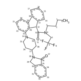 CCCCN(CC(F)(F)F)C(=O)C1c2ccccc2-c2cccc(N3CCC(N4Cc5ccccc5C4=O)CC3)c21